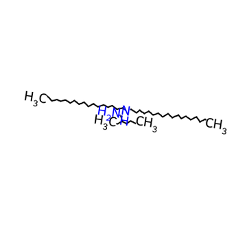 CCCCC(CC)CN.CCCCCCCCCCCCCCCCCCNCCCCCCCCCCCCCCCCCC